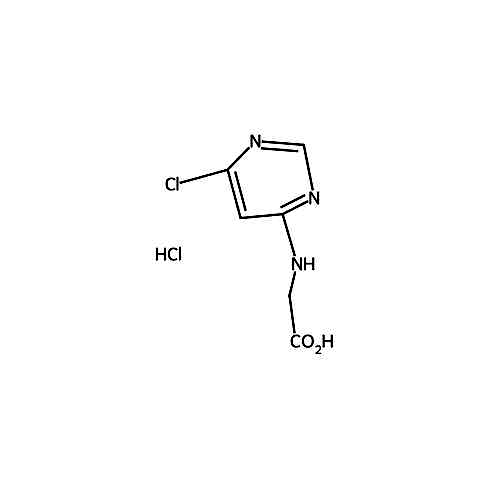 Cl.O=C(O)CNc1cc(Cl)ncn1